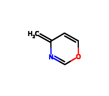 C=C1C=COC=N1